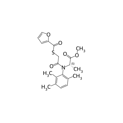 COC(=O)[C@H](C)N(C(=O)CSC(=O)c1ccco1)c1c(C)ccc(C)c1C